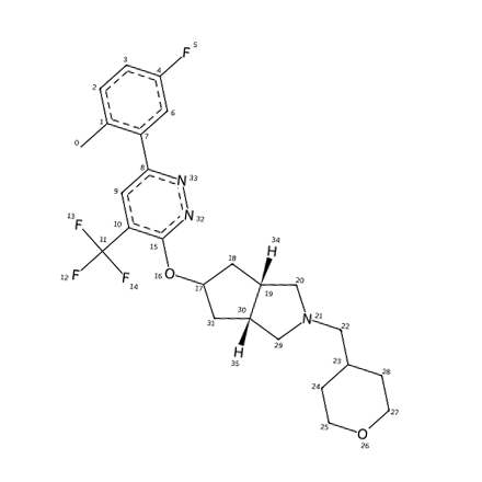 Cc1ccc(F)cc1-c1cc(C(F)(F)F)c(OC2C[C@@H]3CN(CC4CCOCC4)C[C@@H]3C2)nn1